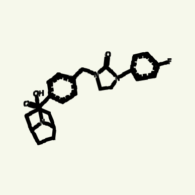 O=C1N(Cc2ccc(C(=O)N3C4CCC3CC(O)C4)cc2)CCN1c1ccc(F)cc1